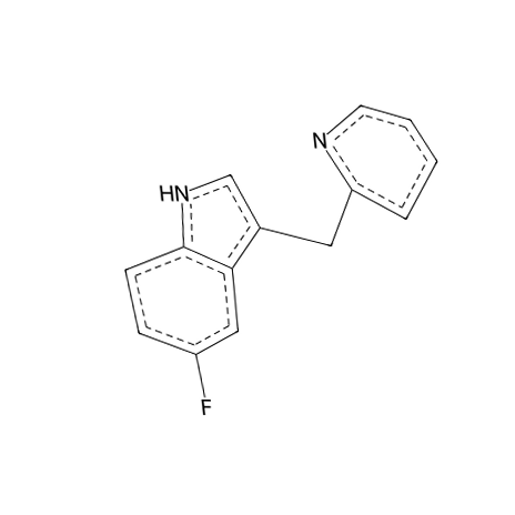 Fc1ccc2[nH]cc(Cc3ccccn3)c2c1